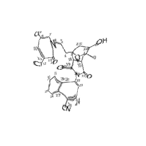 CC12OC(CCn3cc(Cl)cc(Cl)c3=O)(CC1O)C1C(=O)N(c3ccc(C#N)c4ccccc34)C(=O)C12